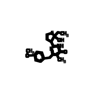 CCC1(O)SC=CC1c1nc(Cc2ccc(OC)cc2)c(C)c(=O)[nH]1